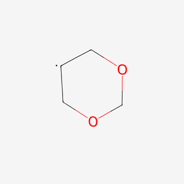 [CH]1COCOC1